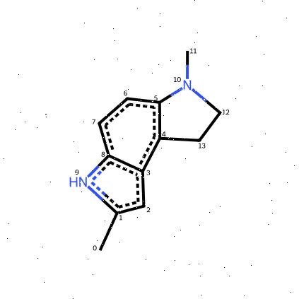 Cc1cc2c3c(ccc2[nH]1)N(C)CC3